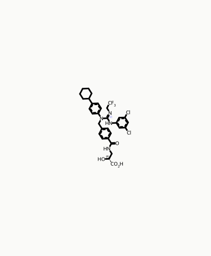 O=C(NC[C@@H](O)C(=O)O)c1ccc(CN(/C(=N\CC(F)(F)F)Nc2cc(Cl)cc(Cl)c2)c2ccc(C3CCCCC3)cc2)cc1